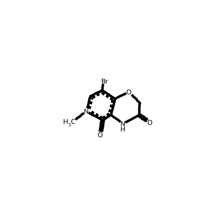 Cn1cc(Br)c2c(c1=O)NC(=O)CO2